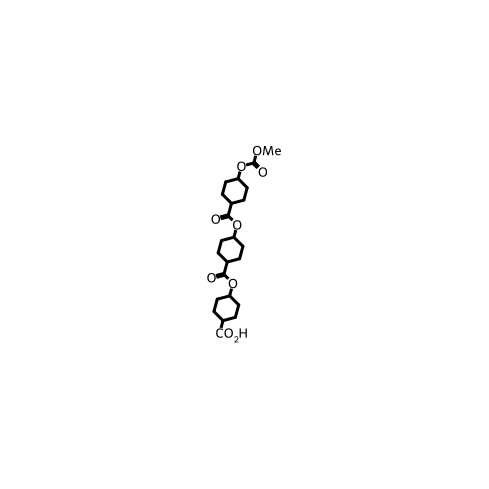 COC(=O)OC1CCC(C(=O)OC2CCC(C(=O)OC3CCC(C(=O)O)CC3)CC2)CC1